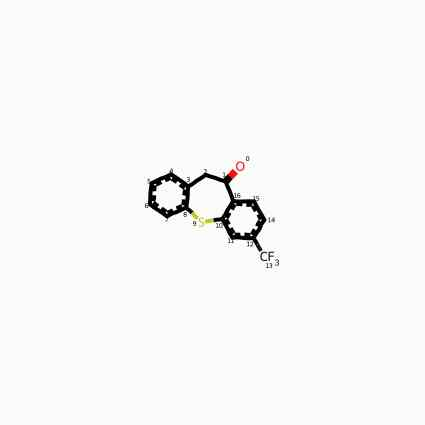 O=C1Cc2ccccc2Sc2cc(C(F)(F)F)ccc21